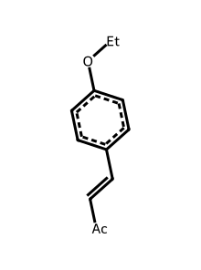 CCOc1ccc(C=CC(C)=O)cc1